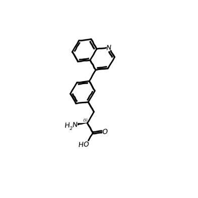 N[C@@H](Cc1cccc(-c2ccnc3ccccc23)c1)C(=O)O